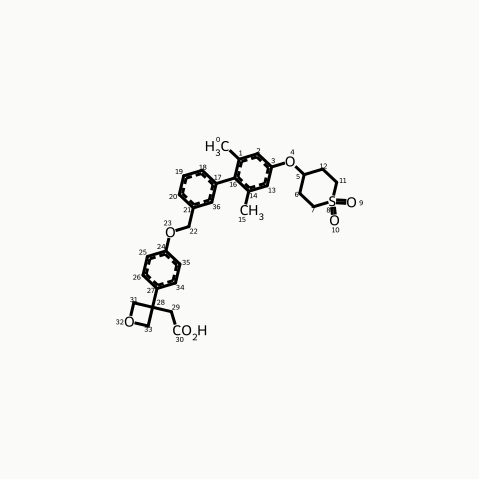 Cc1cc(OC2CCS(=O)(=O)CC2)cc(C)c1-c1cccc(COc2ccc(C3(CC(=O)O)COC3)cc2)c1